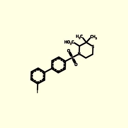 CC1(C)SCCN(S(=O)(=O)c2ccc(-c3cccc(I)c3)cc2)C1C(=O)O